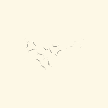 CCCN(CCC)CCCOc1ccc(C(=O)c2c(-c3ccc(Cl)cc3)cc3ccccn23)cc1